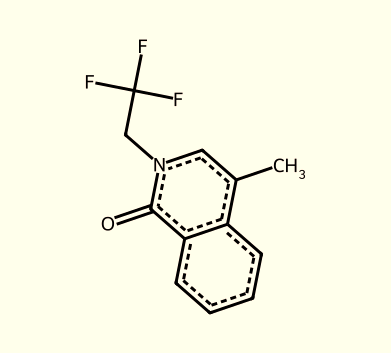 Cc1cn(CC(F)(F)F)c(=O)c2ccccc12